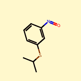 CC(C)Sc1cccc(N=O)c1